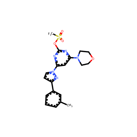 Cc1cccc(-c2ccn(-c3cc(N4CCOCC4)nc(OS(=O)(=O)C(F)(F)F)n3)n2)c1